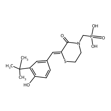 CC(C)(C)c1cc(C=C2SCCN(CP(=O)(O)O)C2=O)ccc1O